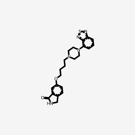 O=C1NCc2ccc(OCCCCN3CCN(c4cccc5nsnc45)CC3)cc21